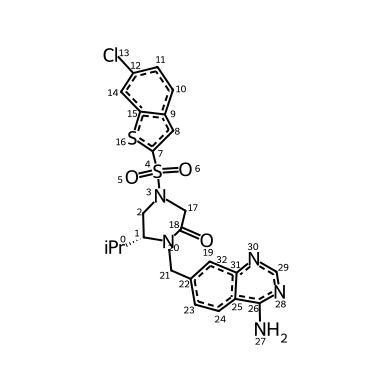 CC(C)[C@@H]1CN(S(=O)(=O)c2cc3ccc(Cl)cc3s2)CC(=O)N1Cc1ccc2c(N)ncnc2c1